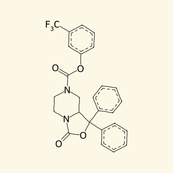 O=C(Oc1cccc(C(F)(F)F)c1)N1CCN2C(=O)OC(c3ccccc3)(c3ccccc3)C2C1